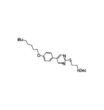 CCCCCCCCCCCCSc1ncc(-c2ccc(OCCCCCC(C)CC)cc2)cn1